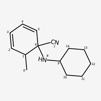 CC1C=CC=CC1(C#N)NC1CCCCC1